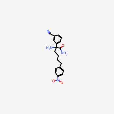 N#Cc1cccc(C(N)(CCCCc2ccc([N+](=O)[O-])cc2)C(N)=O)c1